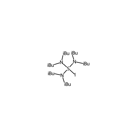 CCC(C)N(C(C)CC)S(I)(N(C(C)CC)C(C)CC)N(C(C)CC)C(C)CC